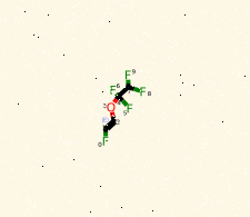 F/C=C/OC(F)(F)C(F)F